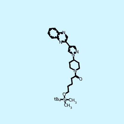 CC(C)(C)[Si](C)(C)OCCCCC(=O)N1CCC(n2cc(-c3cnc4ccccc4n3)cn2)CC1